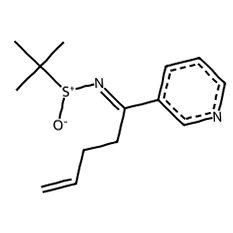 C=CCC/C(=N\[S+]([O-])C(C)(C)C)c1cccnc1